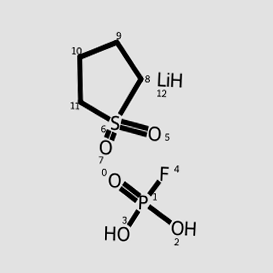 O=P(O)(O)F.O=S1(=O)CCCC1.[LiH]